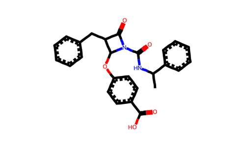 CC(NC(=O)N1C(=O)C(Cc2ccccc2)C1Oc1ccc(C(=O)O)cc1)c1ccccc1